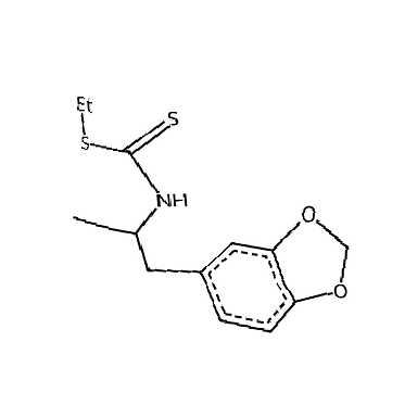 CCSC(=S)NC(C)Cc1ccc2c(c1)OCO2